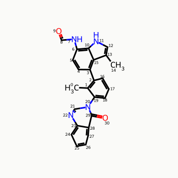 Cc1c(-c2ccc(NC=O)c3[nH]cc(C)c23)cccc1-n1cnc2ccccc2c1=O